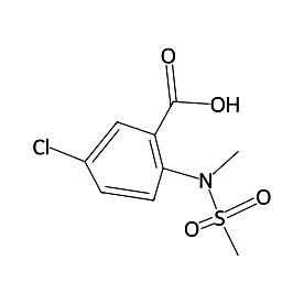 CN(c1ccc(Cl)cc1C(=O)O)S(C)(=O)=O